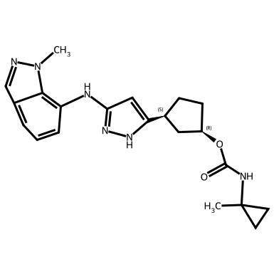 Cn1ncc2cccc(Nc3cc([C@H]4CC[C@@H](OC(=O)NC5(C)CC5)C4)[nH]n3)c21